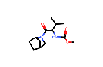 COC(=O)NC(C(=O)N1CC2CCC1C2)C(C)C